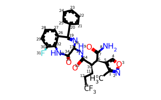 Cc1nocc1[C@H](C(N)=O)[C@@H](CCC(F)(F)F)C(=O)NC1N=C(c2ccccc2)c2cccc(F)c2NC1=O